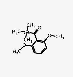 COc1cccc(OC)c1[C](=O)[Ge]([CH3])([CH3])[CH3]